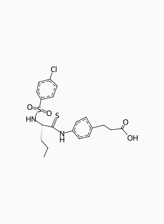 CCC[C@H](NS(=O)(=O)c1ccc(Cl)cc1)C(=S)Nc1ccc(CCC(=O)O)cc1